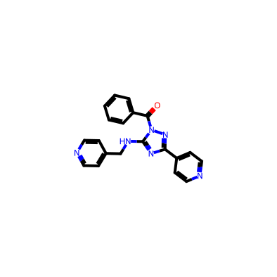 O=C(c1ccccc1)n1nc(-c2ccncc2)nc1NCc1ccncc1